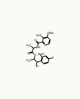 COc1cc(F)ccc1C(C(C)C)C(C)OC(=O)C(C)NC(=O)c1nccc(OC)c1OC(C)=O